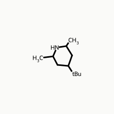 CC1CC(C(C)(C)C)CC(C)N1